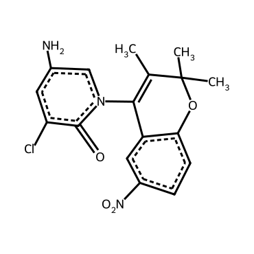 CC1=C(n2cc(N)cc(Cl)c2=O)c2cc([N+](=O)[O-])ccc2OC1(C)C